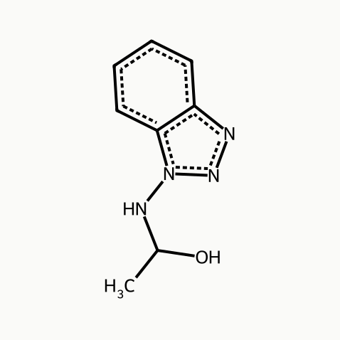 CC(O)Nn1nnc2ccccc21